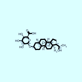 C[C@H](O)[C@H]1CC[C@H]2[C@@H]3CC[C@@H]4C[C@H](O[C@@H]5O[C@H](C(=O)O)[C@@H](O)[C@H](O)[C@H]5O)CC[C@]4(C)[C@H]3CC[C@]12C